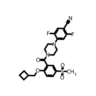 CS(=O)(=O)c1ccc(OCC2CCC2)c(C(=O)N2CCN(c3cc(F)c(C#N)cc3F)CC2)c1